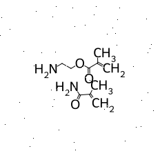 C=C(C)C(=O)OCCN.C=C(C)C(N)=O